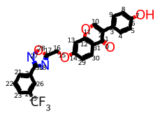 O=c1c(-c2ccc(O)cc2)coc2cc(OCc3nc(-c4cccc(C(F)(F)F)c4)no3)ccc12